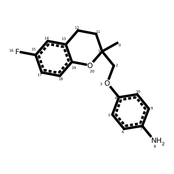 CC1(COc2ccc(N)cc2)CCc2cc(F)ccc2O1